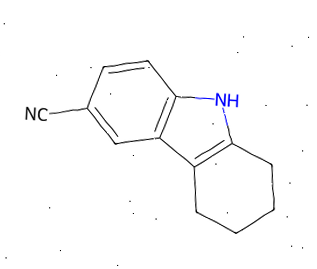 N#Cc1ccc2[nH]c3c(c2c1)CCCC3